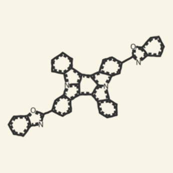 c1ccc2oc(-c3ccc4c5c6c7ccccc7n7c8cc(-c9nc%10ccccc%10o9)ccc8c(c8c9ccccc9n(c4c3)c85)c67)nc2c1